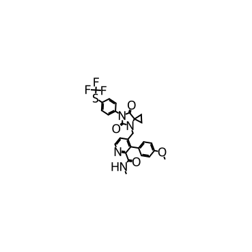 CNC(=O)c1nccc(CN2C(=O)N(c3ccc(SC(F)(F)F)cc3)C(=O)C23CC3)c1-c1ccc(OC)cc1